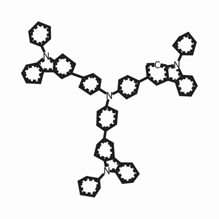 c1ccc(-n2c3ccccc3c3cc(-c4ccc(N(c5ccc(-c6ccc7c(c6)c6ccccc6n7-c6ccccc6)cc5)c5ccc(-c6ccc7c(c6)c6ccccc6n7-c6ccccc6)cc5)cc4)ccc32)cc1